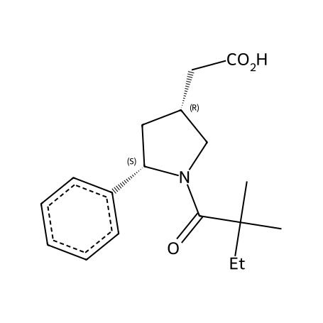 CCC(C)(C)C(=O)N1C[C@@H](CC(=O)O)C[C@H]1c1ccccc1